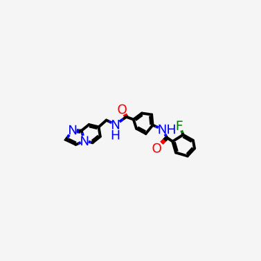 O=C(NCc1ccn2ccnc2c1)c1ccc(NC(=O)c2ccccc2F)cc1